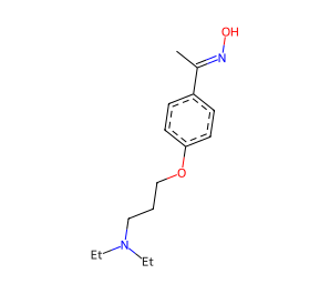 CCN(CC)CCCOc1ccc(/C(C)=N/O)cc1